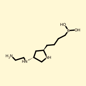 NCCN[C@H]1CN[C@H](CCCCB(O)O)C1